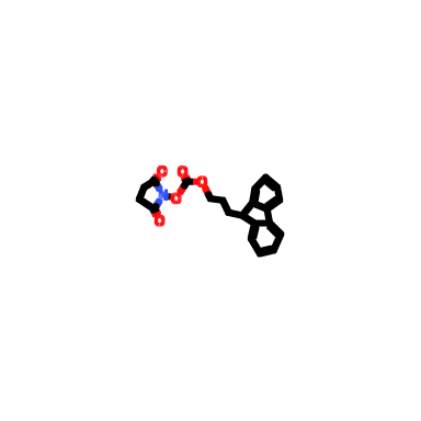 O=C(OCCCC1c2ccccc2-c2ccccc21)ON1C(=O)CCC1=O